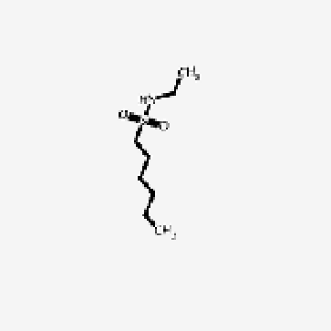 CCCCCCS(=O)(=O)NCC